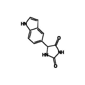 O=C1NC(=O)C(c2ccc3[nH]ccc3c2)N1